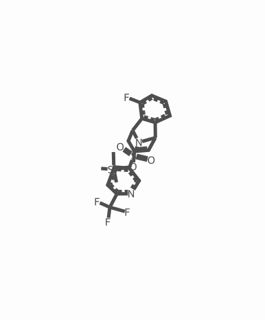 C[Si](C)(C)OC1=CC2c3cccc(F)c3C(C1)N2S(=O)(=O)c1ccc(C(F)(F)F)nc1